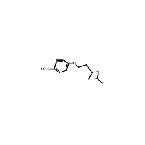 O=C(O)c1ccc(OCCN2CC(F)C2)cc1